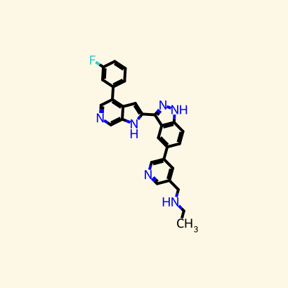 CCNCc1cncc(-c2ccc3[nH]nc(-c4cc5c(-c6cccc(F)c6)cncc5[nH]4)c3c2)c1